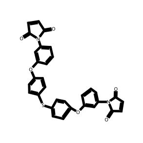 O=C1C=CC(=O)N1c1cccc(Oc2ccc(Sc3ccc(Oc4cccc(N5C(=O)C=CC5=O)c4)cc3)cc2)c1